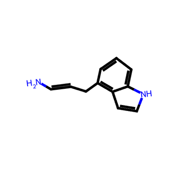 NC=CCc1cccc2[nH]ccc12